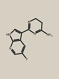 NC1=NC(c2c[nH]c3ncc(F)cc23)=NCC1